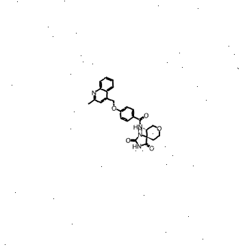 Cc1cc(COc2ccc(C(=O)N[C@@H]3COCC[C@@]34NC(=O)NC4=O)cc2)c2ccccc2n1